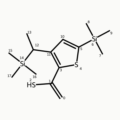 C=C(S)c1sc([Si](C)(C)C)cc1C(C)[Si](C)(C)C